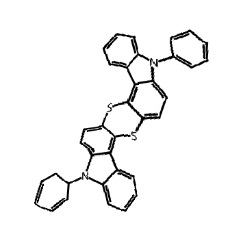 C1=CCC(n2c3ccccc3c3c4c(ccc32)Sc2c(ccc3c2c2ccccc2n3-c2ccccc2)S4)C=C1